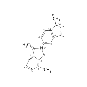 C=C1c2cccc(C)c2CN1c1ccc2c(ccn2C)c1